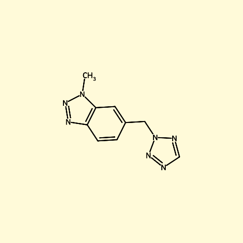 Cn1nnc2ccc(Cn3ncnn3)cc21